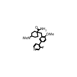 CNC1CCC(Cc2cc(-c3ccncc3F)ccc2OC)(C(N)=O)CC1